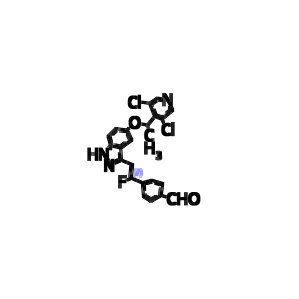 CC(Oc1ccc2[nH]nc(/C=C(\F)c3ccc(C=O)cc3)c2c1)c1c(Cl)cncc1Cl